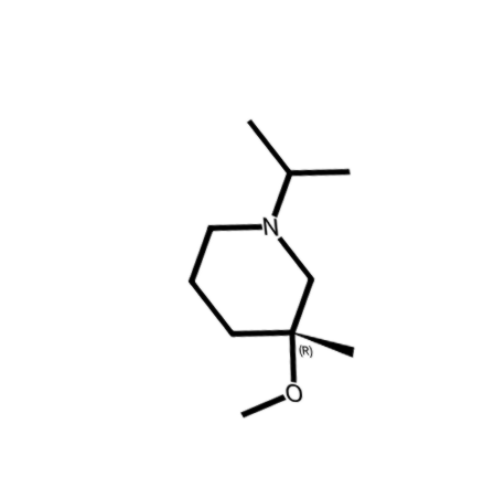 CO[C@]1(C)CCCN(C(C)C)C1